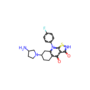 NC1CCN(C2CCc3c(n(-c4ccc(F)cc4)c4s[nH]c(=O)c4c3=O)C2)C1